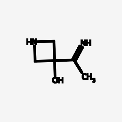 CC(=N)C1(O)CNC1